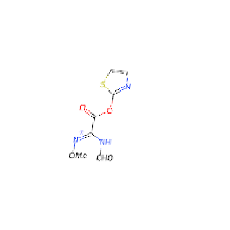 CO/N=C(\NC=O)C(=O)Oc1nccs1